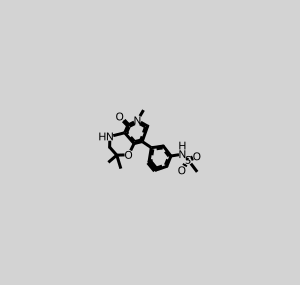 Cn1cc(-c2c#ccc(NS(C)(=O)=O)c2)c2c(c1=O)NCC(C)(C)O2